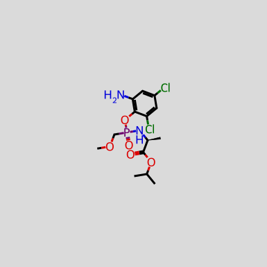 COCP(=O)(N[C@@H](C)C(=O)OC(C)C)Oc1c(N)cc(Cl)cc1Cl